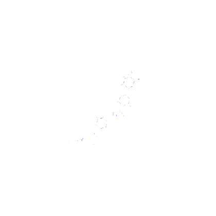 Cc1cc(-c2ccc(C(=O)NCc3cccc(OC4CCN(C)CC4)c3)cc2)ccc1F